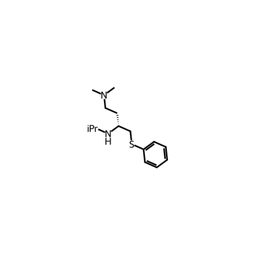 CC(C)N[C@H](CCN(C)C)CSc1ccccc1